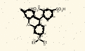 C=c1ccc2c(c1)Oc1cc(N(CC)CC)ccc1C=2c1ccc(S(=O)(=O)O)cc1S(=O)(=O)O